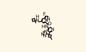 CC1CC(c2cncc(NC(=O)c3cc(CNC4(C)CCC4)cc4c(F)cnn34)c2)(c2nncn2C)C1